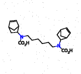 O=C(O)N(CCCCCCN(C(=O)O)C1CC2C=CC1C2)C1CC2C=CC1C2